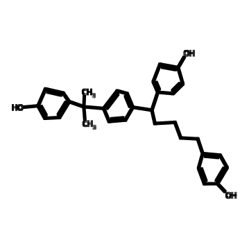 CC(C)(c1ccc(O)cc1)c1ccc(C(CCCCc2ccc(O)cc2)c2ccc(O)cc2)cc1